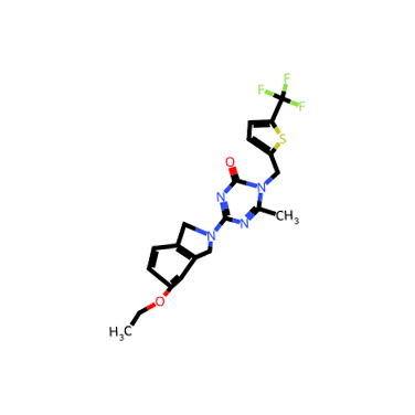 CCOc1ccc2c(c1)CN(c1nc(C)n(Cc3ccc(C(F)(F)F)s3)c(=O)n1)C2